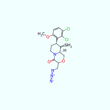 COc1ccc(Cl)c(Cl)c1[C@@H]1CCN2C(=O)C(CN=[N+]=[N-])OC[C@@H]2C1=[SiH2]